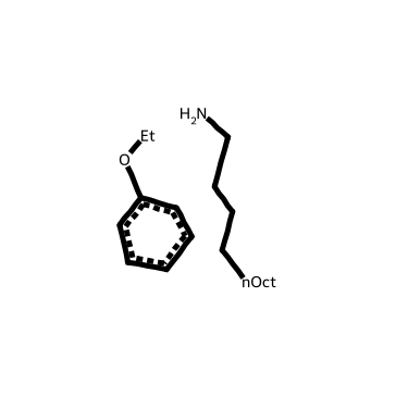 CCCCCCCCCCCCN.CCOc1ccccc1